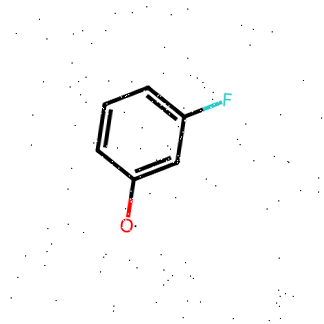 [O]c1cccc(F)c1